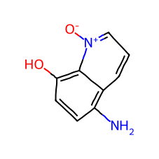 Nc1ccc(O)c2c1ccc[n+]2[O-]